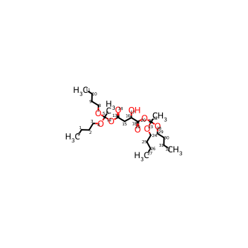 CCCCOC(C)(OCCCC)OC(=O)CC(O)C(=O)OC(C)(OCCCC)OCCCC